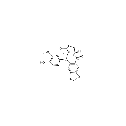 COc1cc([C@@H]2c3cc4c(cc3[C@H](O)[C@H]3COC(=O)[C@H]23)OCO4)ccc1O